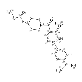 COC(=O)CC1CCN(C(=O)c2cnc(-c3ccc(C(=N)N)cc3)[nH]c2=O)CC1.Cl